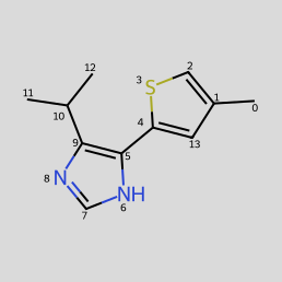 Cc1csc(-c2[nH]cnc2C(C)C)c1